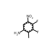 Cc1c(N)cc([N+](=O)[O-])c(F)c1F